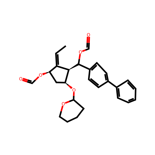 CC=C1[C@H](OC=O)C[C@H](OC2CCCCO2)[C@@H]1C(OC=O)c1ccc(-c2ccccc2)cc1